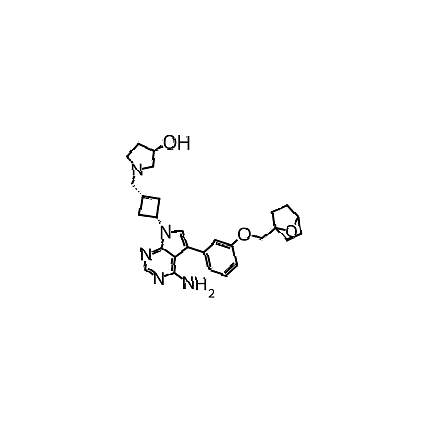 Nc1ncnc2c1c(-c1cccc(OCC34CCC(CC3)O4)c1)cn2[C@H]1C[C@@H](CN2CC[C@@H](O)C2)C1